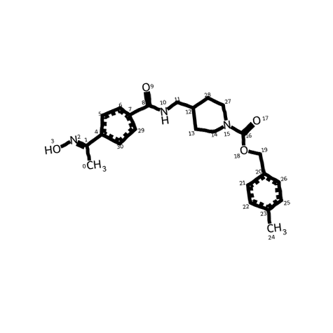 C/C(=N\O)c1ccc(C(=O)NCC2CCN(C(=O)OCc3ccc(C)cc3)CC2)cc1